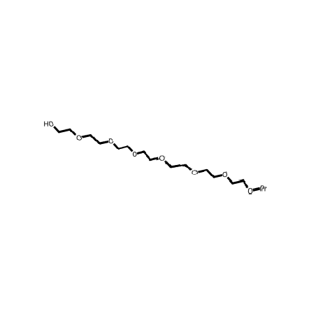 CC(C)OCCOCCOCCOCCOCCOCCOCCO